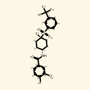 O=C(N[C@H]1CC[C@@](F)(S(=O)(=O)c2cccc(C(F)(F)F)c2)CC1)c1ccc(F)c(Cl)c1